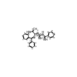 C=C1Nc2ccccc2C(c2ccccc2)=NC1NC(=N)NC(=N)c1ccncc1